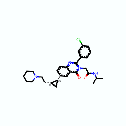 CC(C)NC(=O)Cn1c(-c2cccc(Cl)c2)nc2ccc([C@@H]3C[C@@H]3CCN3CCCCC3)cc2c1=O